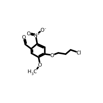 COc1cc(C=O)c([N+](=O)[O-])cc1OCCCCl